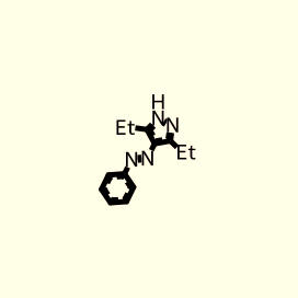 CCc1n[nH]c(CC)c1N=Nc1ccccc1